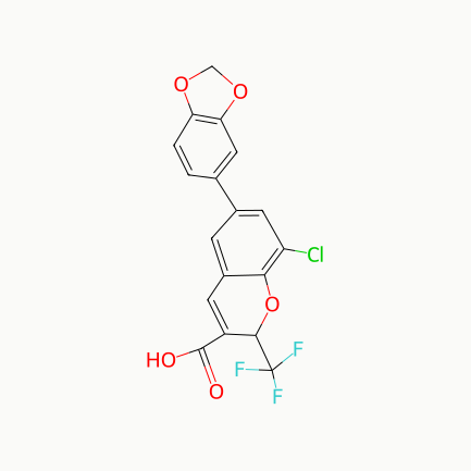 O=C(O)C1=Cc2cc(-c3ccc4c(c3)OCO4)cc(Cl)c2OC1C(F)(F)F